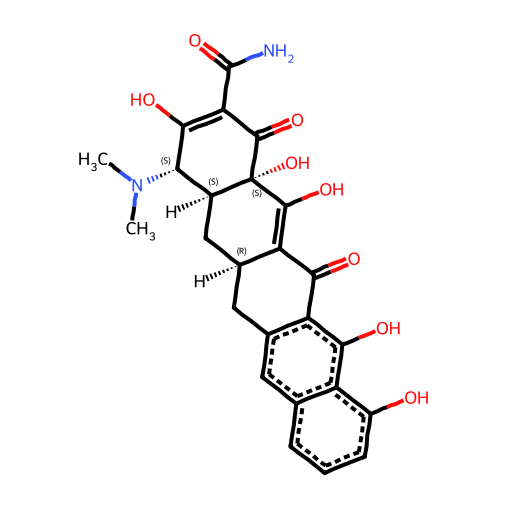 CN(C)[C@@H]1C(O)=C(C(N)=O)C(=O)[C@@]2(O)C(O)=C3C(=O)c4c(cc5cccc(O)c5c4O)C[C@H]3C[C@@H]12